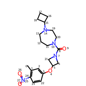 Cc1cc(OC2CN(C(=O)N3CCCN(C4CCC4)CC3)C2)ccc1[N+](=O)[O-]